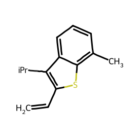 C=Cc1sc2c(C)cccc2c1C(C)C